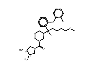 COCCCC[C@@](O)(c1ccccc1Oc1ccccc1C)C1CCCN(C(=O)N2C[C@@H](N)[C@H](O)C2)C1